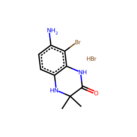 Br.CC1(C)Nc2ccc(N)c(Br)c2NC1=O